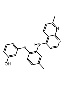 Cc1ccc(Sc2cccc(O)c2)c(Nc2ccnc3nc(C)ccc23)c1